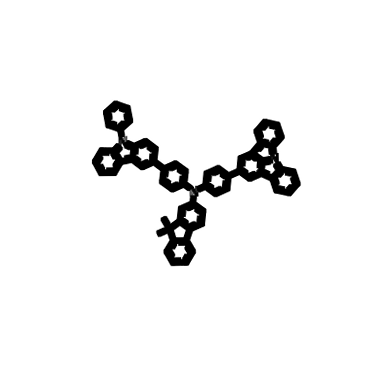 CC1(C)c2ccccc2-c2ccc(N(c3ccc(-c4ccc5c(c4)c4ccccc4n5-c4ccccc4)cc3)c3ccc(-c4cc5c6ccccc6n6c7ccccc7c(c4)c56)cc3)cc21